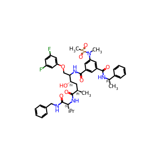 CC(C)[C@H](NC(=O)[C@H](C)C[C@H](O)C(COc1cc(F)cc(F)c1)NC(=O)c1cc(C(=O)N[C@H](C)c2ccccc2)cc(N(C)S(C)(=O)=O)c1)C(=O)NCc1ccccc1